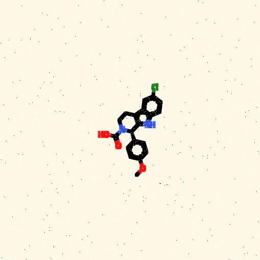 COc1ccc([C@@H]2c3[nH]c4ccc(Cl)cc4c3CCN2C(=O)O)cc1